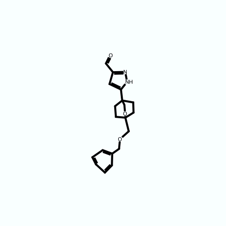 O=Cc1cc(C23CCC(COCc4ccccc4)(CC2)OC3)[nH]n1